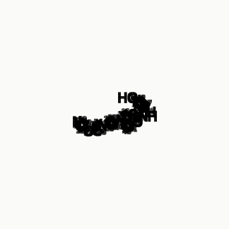 O=C(NC1[C@@H]2CC3C[C@H]1CC(O)(C3)C2)ON1CCN(c2ccc(N3CCC(Oc4ccncc4)CC3)cc2)c2ccccc21